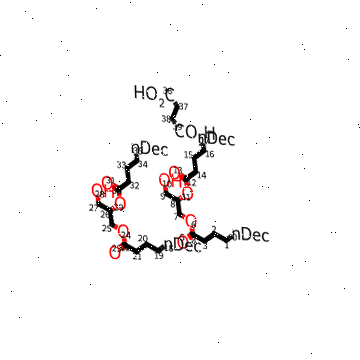 CCCCCCCCCCCCCC(=O)OCC(CO)OC(=O)CCCCCCCCCCCCC.CCCCCCCCCCCCCC(=O)OCC(CO)OC(=O)CCCCCCCCCCCCC.O=C(O)CCC(=O)O